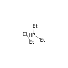 CCCl.CCPCC